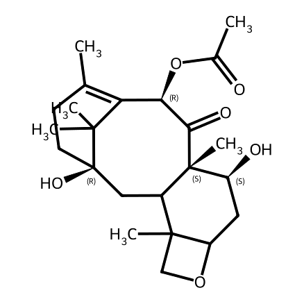 CC(=O)O[C@H]1C(=O)[C@@]2(C)C(C[C@]3(O)CCC(C)=C1C3(C)C)C1(C)COC1C[C@@H]2O